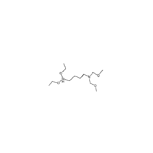 CCO[SiH](CCCCN(COC)COC)OCC